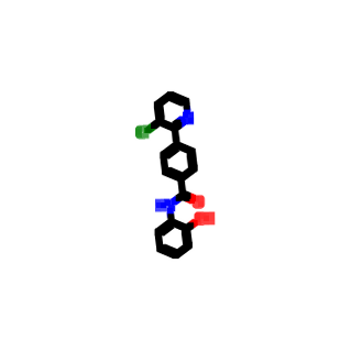 O=C(Nc1ccccc1O)c1ccc(-c2ncccc2Cl)cc1